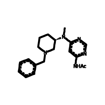 CC(=O)Nc1cc(N(C)[C@H]2CCCN(Cc3ccccc3)C2)ncn1